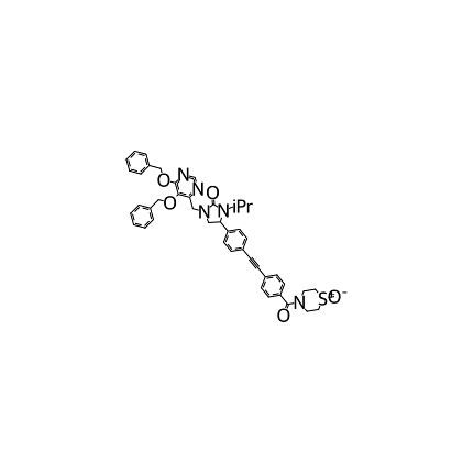 CC(C)N1C(=O)N(Cc2ncnc(OCc3ccccc3)c2OCc2ccccc2)CC1c1ccc(C#Cc2ccc(C(=O)N3CC[S+]([O-])CC3)cc2)cc1